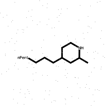 CCCCCCCCC1CCNC(C)C1